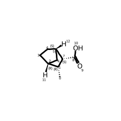 C[C@@H]1[C@@H]2CC[C@@H](C2)[C@@H]1C(=O)O